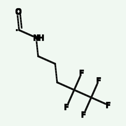 O=[C]NCCCC(F)(F)C(F)(F)F